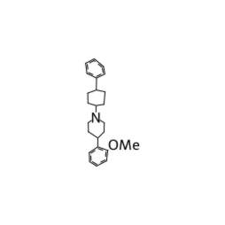 COc1ccccc1C1CCN(C2CCC(c3ccccc3)CC2)CC1